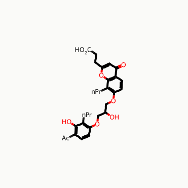 CCCc1c(OCC(O)COc2ccc3c(=O)cc(CCC(=O)O)oc3c2CCC)ccc(C(C)=O)c1O